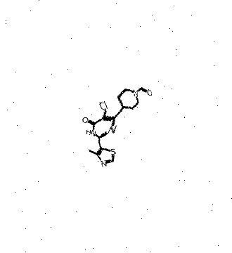 Cc1ncsc1-c1nc(C2CCN(C=O)CC2)c(Cl)c(=O)[nH]1